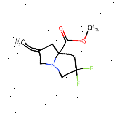 C=C1CN2CC(F)(F)CC2(C(=O)OC)C1